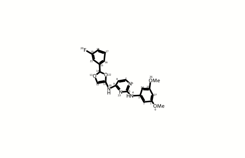 COc1cc(Nc2nccc(NC3=COC(c4cccc(F)c4)O3)n2)cc(OC)c1